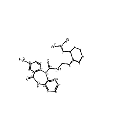 CCN(CC)CC1CCCCN1CCNC(=O)N1c2ccc(C)cc2C(=O)Nc2cccnc21